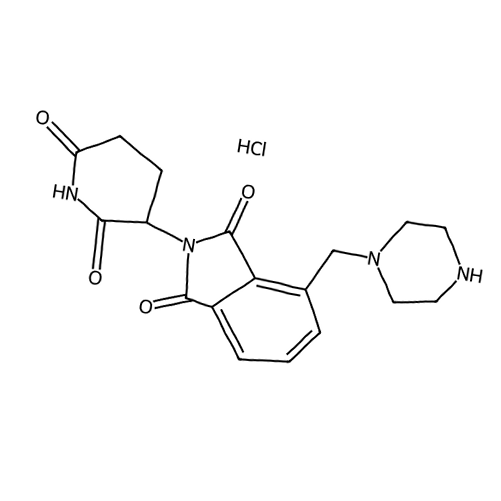 Cl.O=C1CCC(N2C(=O)c3cccc(CN4CCNCC4)c3C2=O)C(=O)N1